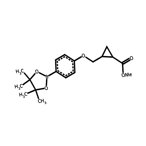 COC(=O)C1CC1COc1ccc(B2OC(C)(C)C(C)(C)O2)cc1